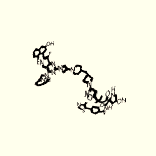 CCc1cccc2cc(O)cc(-c3ncc4c(N5CC6CCC(C5)N6)nc(N5CC(N6CCC(CC7CN(c8cc(C(C)(C)CC(=O)[C@]9(C(=O)N[C@@H](C)c%10ccc(-c%11scnc%11C)cc%10)CC(O)CN9)on8)C7)CC6)C5)nc4c3F)c12